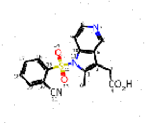 Cc1c(CC(=O)O)c2cnccc2n1S(=O)(=O)c1ccccc1C#N